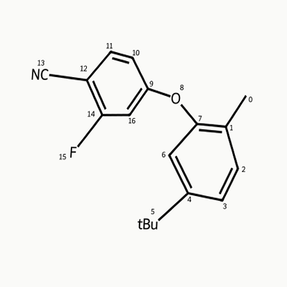 Cc1ccc(C(C)(C)C)cc1Oc1ccc(C#N)c(F)c1